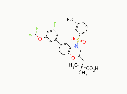 CC(C)(CC1CN(S(=O)(=O)c2cccc(C(F)(F)F)c2)c2cc(-c3cc(F)cc(OC(F)F)c3)ccc2O1)C(=O)O